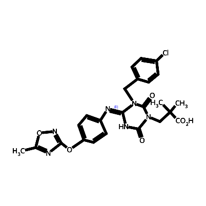 Cc1nc(Oc2ccc(/N=c3\[nH]c(=O)n(CC(C)(C)C(=O)O)c(=O)n3Cc3ccc(Cl)cc3)cc2)no1